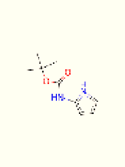 CC(C)(C)OC(=O)Nc1ccc[nH]1